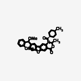 COc1ccccc1C(OC)c1ccc2oc3cc4c(cc3c2c1)N(C(=O)[C@H]1CC[C@H](C)CC1)C(C)OC4=O